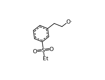 CCS(=O)(=O)c1cccc(CC[O])c1